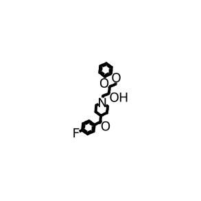 O=C(c1ccc(F)cc1)C1CCN(CC(O)C2COc3ccccc3O2)CC1